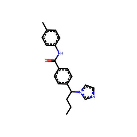 CCCC(c1ccc(C(=O)Nc2ccc(C)cc2)cc1)n1ccnc1